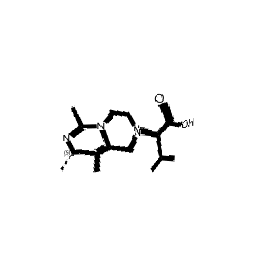 CC1=N[C@@H](C)C(C)=C2CN(C(C(=O)O)C(C)C)CCN12